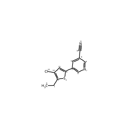 CCc1sc(-c2cncc(C#N)c2)cc1Cl